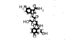 C[C@H](CO)N(CC(=O)N[C@H](CCO)c1cccc(Cl)c1F)C(=O)Cn1nc(C(N)=O)c2cc(N)ccc21